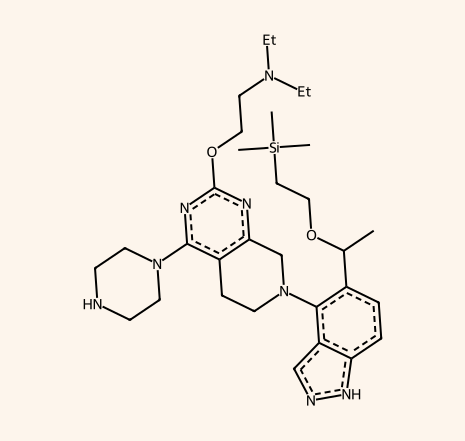 CCN(CC)CCOc1nc2c(c(N3CCNCC3)n1)CCN(c1c(C(C)OCC[Si](C)(C)C)ccc3[nH]ncc13)C2